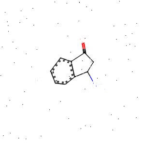 Cl.NC1CC(=O)c2ccccc21